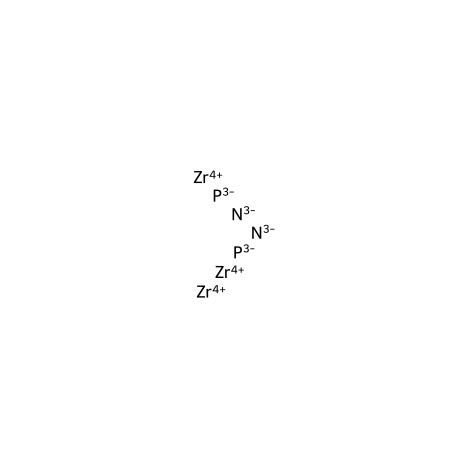 [N-3].[N-3].[P-3].[P-3].[Zr+4].[Zr+4].[Zr+4]